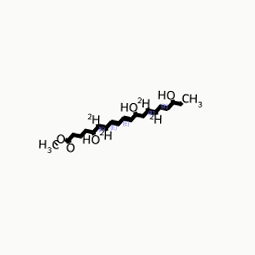 [2H]C(/C=C/C(O)CC)=C(/[2H])CC(O)/C=C/C=C/C([2H])=C(\[2H])C(O)CCCC(=O)OC